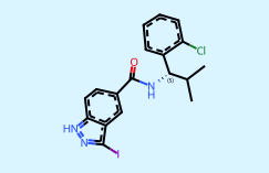 CC(C)[C@H](NC(=O)c1ccc2[nH]nc(I)c2c1)c1ccccc1Cl